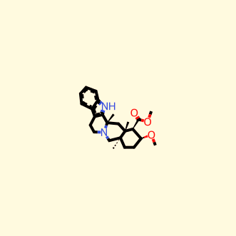 COC(=O)[C@H]1[C@@H](OC)CC[C@@]2(C)CN3CCc4c([nH]c5ccccc45)[C@]3(C)C[C@]12C